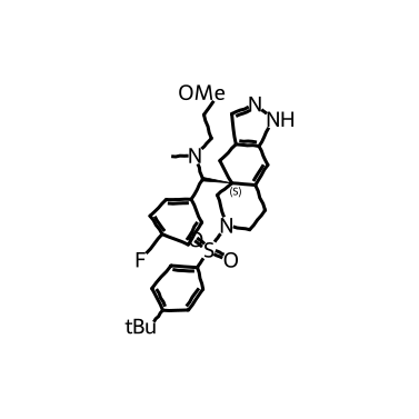 COCCN(C)C(c1ccc(F)cc1)[C@@]12Cc3cn[nH]c3C=C1CCN(S(=O)(=O)c1ccc(C(C)(C)C)cc1)C2